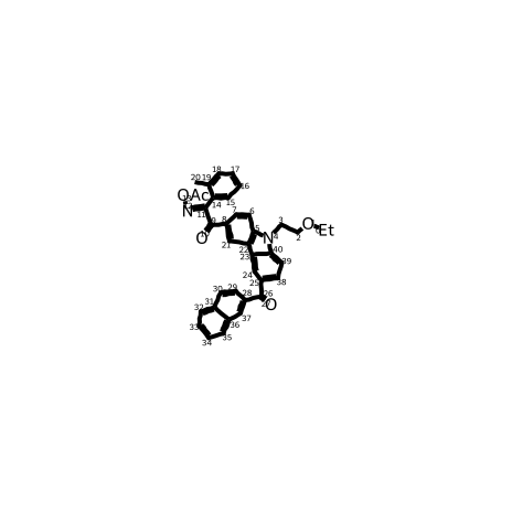 CCOCCn1c2ccc(C(=O)/C(=N/OC(C)=O)c3ccccc3C)cc2c2cc(C(=O)c3ccc4ccccc4c3)ccc21